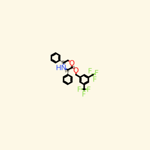 FC(F)(F)c1cc(CO[C@@H]2OC[C@@H](c3ccccc3)N[C@H]2c2ccccc2)cc(C(F)(F)F)c1